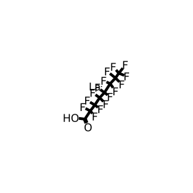 O=C(O)C(F)(F)C(F)(F)C(F)(F)C(F)(F)C(F)(F)C(F)(F)C(F)(F)F.[La]